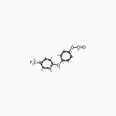 O=COc1ccc(Oc2ccc(C(F)(F)F)cn2)cc1